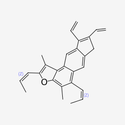 C=CC1=C(C=C)c2cc3c(cc2C1)c(/C=C\C)c(C)c1oc(/C=C\C)c(C)c13